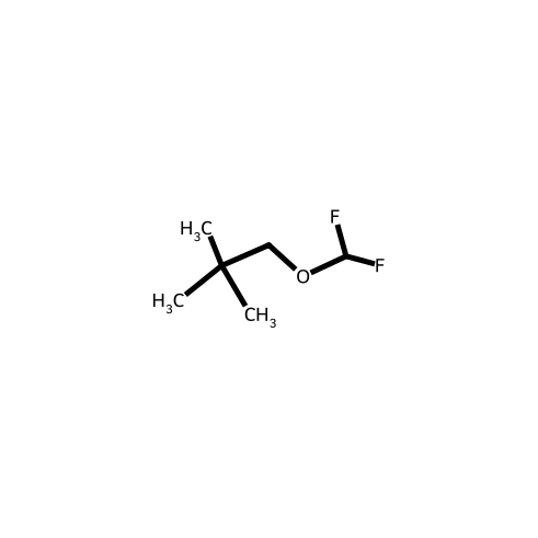 CC(C)(C)COC(F)F